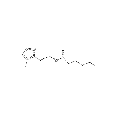 CCCCCC(=O)OCCc1scnc1C